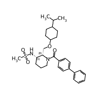 CC(C)C1CCC(OC[C@H]2[C@@H](NS(C)(=O)=O)CCCN2C(=O)c2ccc(-c3ccccc3)cc2)CC1